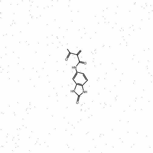 C=C(C(C)=O)C(=O)Nc1ccc2[nH]c(=O)[nH]c2c1